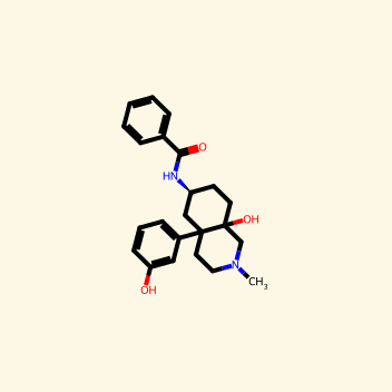 CN1CCC2(c3cccc(O)c3)C[C@@H](NC(=O)c3ccccc3)CCC2(O)C1